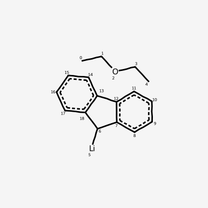 CCOCC.[Li][CH]1c2ccccc2-c2ccccc21